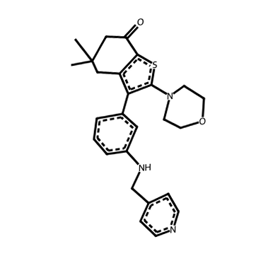 CC1(C)CC(=O)c2sc(N3CCOCC3)c(-c3cccc(NCc4ccncc4)c3)c2C1